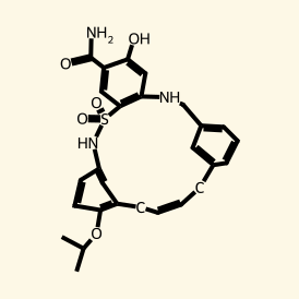 CC(C)Oc1ccc2cc1C/C=C\Cc1cccc(c1)CNc1cc(O)c(C(N)=O)cc1S(=O)(=O)N2